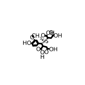 COc1cc(C(SSC(CC(=O)O)C(=O)O)C(CC(=O)O)C(=O)O)ccc1O